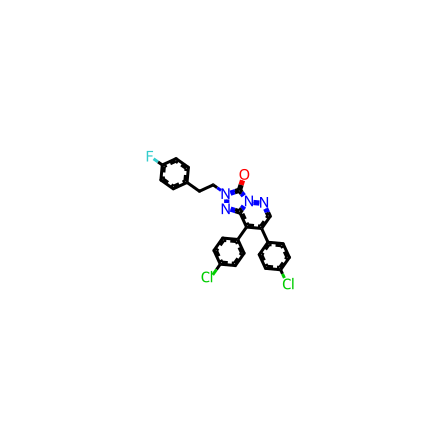 O=c1n(CCc2ccc(F)cc2)nc2c(-c3ccc(Cl)cc3)c(-c3ccc(Cl)cc3)cnn12